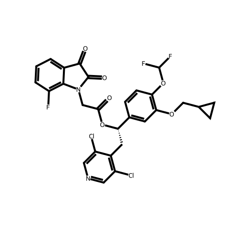 O=C(CN1C(=O)C(=O)c2cccc(F)c21)O[C@@H](Cc1c(Cl)cncc1Cl)c1ccc(OC(F)F)c(OCC2CC2)c1